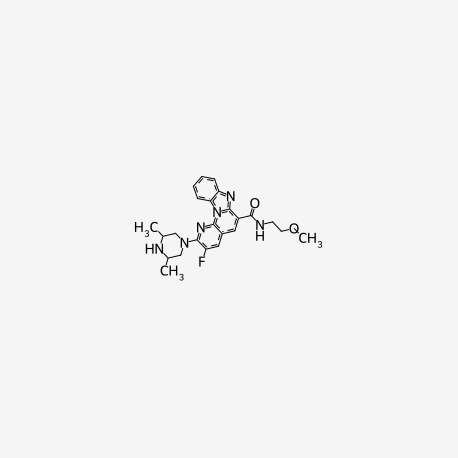 COCCNC(=O)c1cc2cc(F)c(N3CC(C)NC(C)C3)nc2n2c1nc1ccccc12